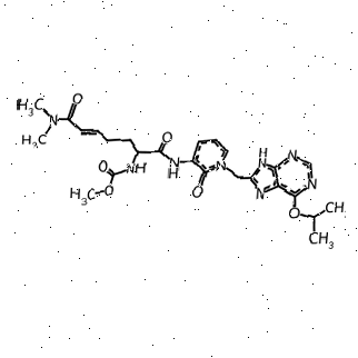 COC(=O)NC(CCC=CC(=O)N(C)C)C(=O)Nc1cccn(Cc2nc3c(OC(C)C)ncnc3[nH]2)c1=O